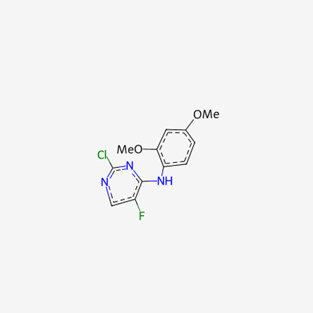 COc1ccc(Nc2nc(Cl)ncc2F)c(OC)c1